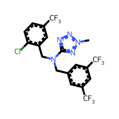 Cn1nnc(N(Cc2cc(C(F)(F)F)cc(C(F)(F)F)c2)Cc2cc(C(F)(F)F)ccc2Cl)n1